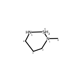 CN1CCCN[SiH2]1